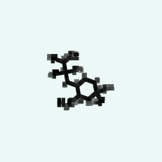 CCC(F)C(F)(F)CC1CCC(F)(F)CC1C